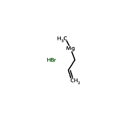 Br.C=C[CH2][Mg][CH3]